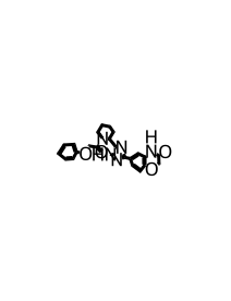 O=C1COc2ccc(-c3n[nH]c(C4CCCCN4C(=O)COc4ccccc4)n3)cc2N1